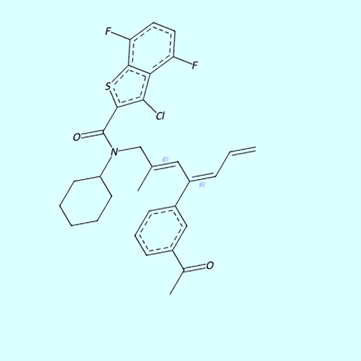 C=C/C=C(\C=C(/C)CN(C(=O)c1sc2c(F)ccc(F)c2c1Cl)C1CCCCC1)c1cccc(C(C)=O)c1